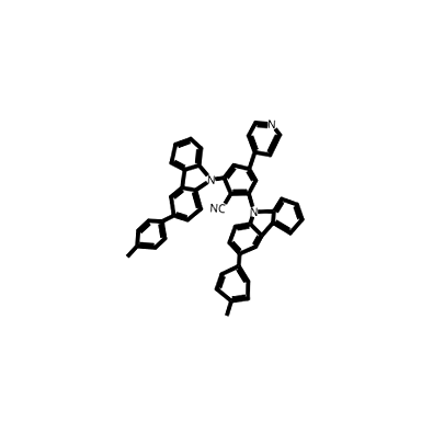 Cc1ccc(-c2ccc3c(c2)c2ccccc2n3-c2cc(-c3ccncc3)cc(-n3c4ccccc4c4cc(-c5ccc(C)cc5)ccc43)c2C#N)cc1